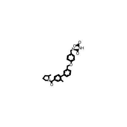 Cc1cc(C(=O)N2CCCC2C)ccc1-c1cccc(COc2ccc(Cn3oc(=O)[nH]c3=O)cc2)c1